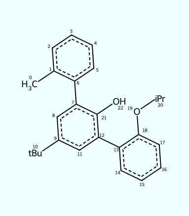 Cc1ccccc1-c1cc(C(C)(C)C)cc(-c2ccccc2OC(C)C)c1O